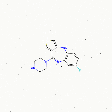 Fc1ccc2c(c1)N=C(N1CCNCC1)c1cscc1N2